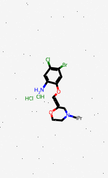 CC(C)N1CCOC(=COc2cc(Br)c(Cl)cc2N)C1.Cl.Cl